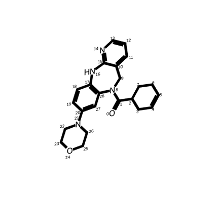 O=C(C1CC=CCC1)N1Cc2cccnc2Nc2ccc(N3CCOCC3)cc21